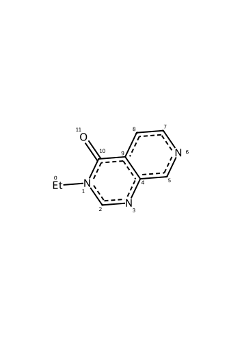 CCn1cnc2cnccc2c1=O